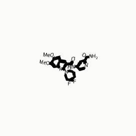 COc1cc2cc(C(=O)Nc3ccnc(C(N)=O)c3)c(N3CCCC(F)(F)CC3)nc2cc1OC